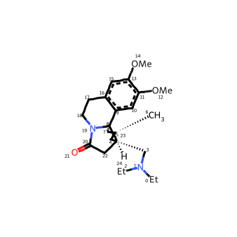 CCN(CC)C[C@@H]1[C@@H](C)C[C@@]23c4cc(OC)c(OC)cc4CCN2C(=O)C[C@@H]13